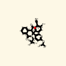 N#Cc1cc(C2(c3ccc(OC(F)F)nc3)C(C(N)=O)c3ccccc3C(=O)N2CC(F)(F)F)ccc1F